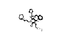 CCCn1c(=O)c2c(nc(C3CCCC3)n2Cc2ccccc2)n(CCCN2CCCCC2)c1=O